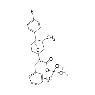 CC1CC2(N(Cc3ccccc3)C(=O)OC(C)(C)C)CCC1(c1ccc(Br)cc1)CC2